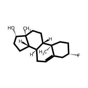 C[C@]12CC[C@H]3[C@@H](CC=C4C[C@@H](F)CC[C@@]43C)[C@@H]1CC[C@@H]2O